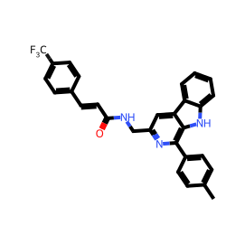 Cc1ccc(-c2nc(CNC(=O)/C=C/c3ccc(C(F)(F)F)cc3)cc3c2[nH]c2ccccc23)cc1